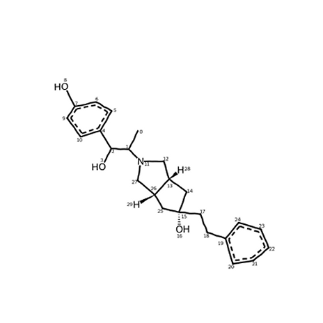 CC(C(O)c1ccc(O)cc1)N1C[C@@H]2C[C@@](O)(CCc3ccccc3)C[C@@H]2C1